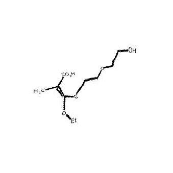 CCOC(OCCOCCO)=C(C)C(=O)O